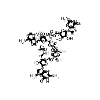 CCS(=O)(=O)NC[C@H]1[C@@H](O)[C@H](n2c[n+](C)c3c(=O)[nH]c(N)nc32)O[C@@H]1COP(=O)(O)OP(=O)(O)OP(=O)(O)OC[C@H]1O[C@@H](n2cnc3c(N)ncnc32)[C@H](OC)[C@@H]1OP(=O)([O-])OC[C@H]1O[C@@H](n2cnc3c(=O)[nH]c(N)nc32)[C@H](O)[C@@H]1O